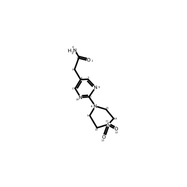 NC(=O)Cc1cnc(N2CCS(=O)(=O)CC2)nc1